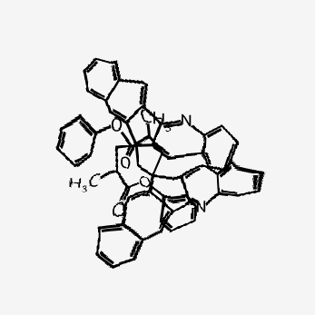 CC(CC1(CC2(CC(C)C(=O)Oc3ccccc3)c3cc4ccccc4cc3-c3nc4ccccc4cc32)c2cc3ccccc3cc2-c2nc3ccccc3cc21)C(=O)Oc1ccccc1